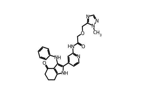 Cn1ncnc1COCC(=O)Nc1cc(-c2[nH]c3c(c2Nc2ccccc2)C(=O)CCC3)ccn1